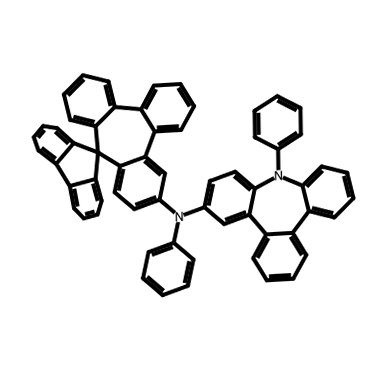 c1ccc(N(c2ccc3c(c2)-c2ccccc2-c2ccccc2N3c2ccccc2)c2ccc3c(c2)-c2ccccc2-c2ccccc2C32c3ccccc3-c3ccccc32)cc1